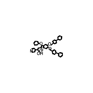 O=C(O)C(=Cc1sc2cc(OCc3ccc(-c4ccccc4)cc3)c(OCc3ccc(-c4ccccc4)cc3)cc2c1Oc1ccccc1)c1ccncc1